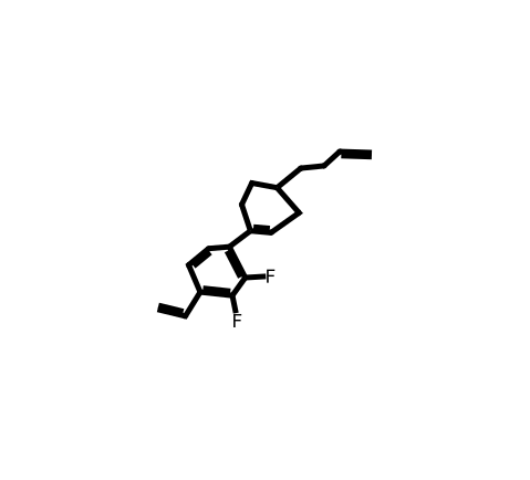 C=CCCC1CC=C(c2ccc(C=C)c(F)c2F)CC1